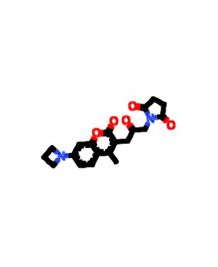 Cc1c(CC(=O)CN2C(=O)CCC2=O)c(=O)oc2cc(N3CCC3)ccc12